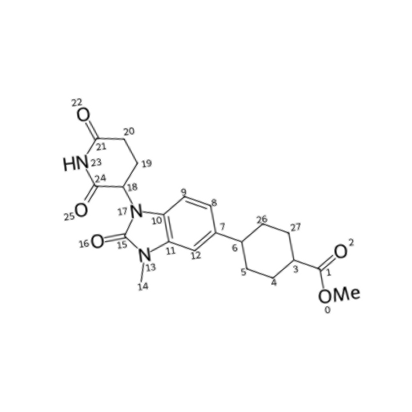 COC(=O)C1CCC(c2ccc3c(c2)n(C)c(=O)n3C2CCC(=O)NC2=O)CC1